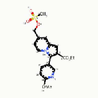 CCOC(=O)c1cc2cc(COS(C)(=O)=O)ccn2c1-c1ccc(OC)nc1